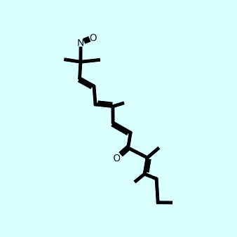 CCC/C(C)=C(\C)C(=O)/C=C/C(C)=C/C=C/C(C)(C)N=O